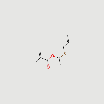 C=CCSC(C)OC(=O)C(=C)C